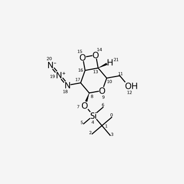 CC(C)(C)[Si](C)(C)O[C@@H]1OC(CO)[C@H]2OOC2C1N=[N+]=[N-]